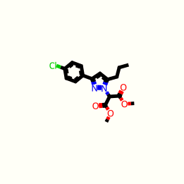 CCCc1cc(-c2ccc(Cl)cc2)nn1C(C(=O)OC)C(=O)OC